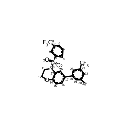 O=S(=O)(c1cccc(C(F)(F)F)c1)N1CCOc2ccc(-c3cc(F)cc(C(F)(F)F)c3)cc21